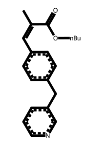 CCCCOC(=O)C(C)=Cc1ccc(Cc2cccnc2)cc1